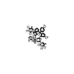 CC[C@@H]1CN(P(=O)(N=C2N(C)CCN2C)OC[C@H]2O[C@@H](n3cc(C)c(=O)[nH]c3=O)CC2OC(c2ccccc2)(c2ccc(OC)cc2)c2ccc(OC)cc2)C[C@H](n2cc(C)c(=O)[nH]c2=O)O1